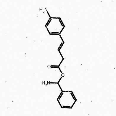 Nc1ccc(C=C[CH]C(=O)OC(N)c2ccccc2)cc1